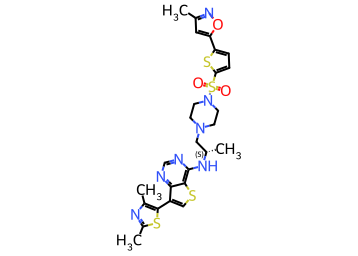 Cc1cc(-c2ccc(S(=O)(=O)N3CCN(C[C@H](C)Nc4ncnc5c(-c6sc(C)nc6C)csc45)CC3)s2)on1